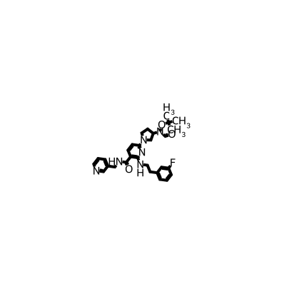 CC(C)(C)ON(C=O)C1CCN(c2ccc(C(=O)NCc3cccnc3)c(NCCc3cccc(F)c3)n2)C1